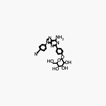 N#Cc1ccc(-n2cnc3c(N)nc(-c4ccc(OC5OC(CO)C(O)C(O)C5O)cc4)nc32)cc1